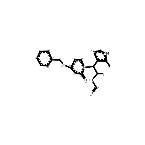 Cc1[nH]cnc1C(C(C)OC=O)n1ccc(OCc2ccccc2)cc1=O